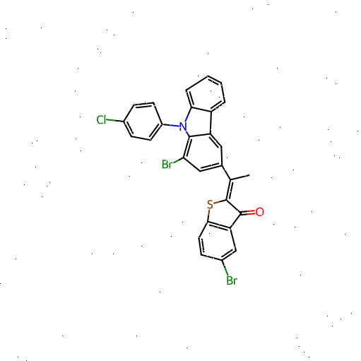 C/C(=C1/Sc2ccc(Br)cc2C1=O)c1cc(Br)c2c(c1)c1ccccc1n2-c1ccc(Cl)cc1